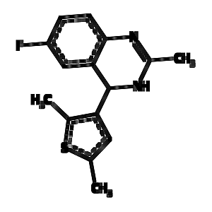 CC1=Nc2ccc(F)cc2C(c2cc(C)sc2C)N1